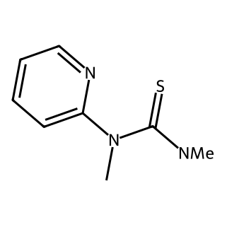 CNC(=S)N(C)c1ccccn1